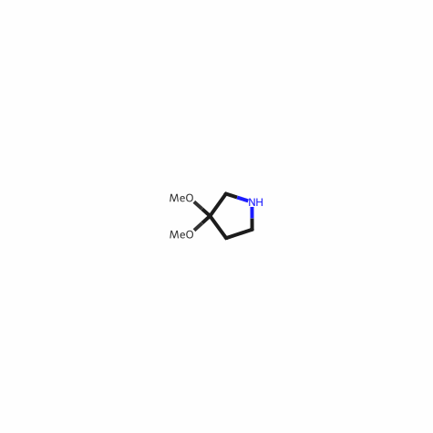 COC1(OC)CCNC1